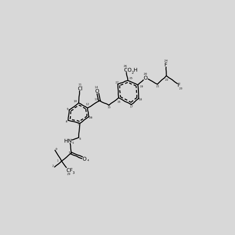 CC(C)(C(=O)NCc1ccc(Cl)c(C(=O)Cc2ccc(OCC(F)F)c(C(=O)O)c2)c1)C(F)(F)F